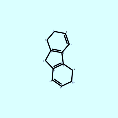 [CH]1CC=CC2=C1CC1=C2CCC=C1